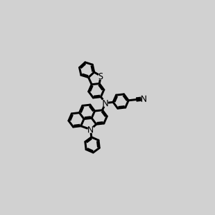 N#Cc1ccc(N(c2ccc3c(c2)sc2ccccc23)c2ccc3c4c2ccc2cccc(c24)n3-c2ccccc2)cc1